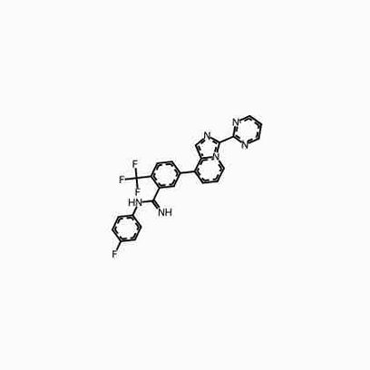 N=C(Nc1ccc(F)cc1)c1cc(-c2cccn3c(-c4ncccn4)ncc23)ccc1C(F)(F)F